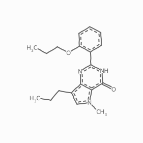 CCCOc1ccccc1-c1nc2c(CCC)cn(C)c2c(=O)[nH]1